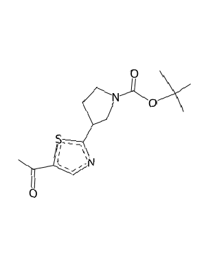 CC(=O)c1cnc(C2CCN(C(=O)OC(C)(C)C)C2)s1